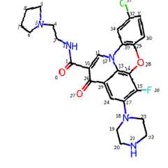 O=C(NCCN1CCCC1)c1cn2c3c(c(F)c(N4CCNCC4)cc3c1=O)Oc1ccc(Cl)cc1-2